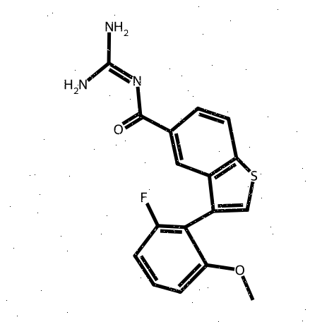 COc1cccc(F)c1-c1csc2ccc(C(=O)N=C(N)N)cc12